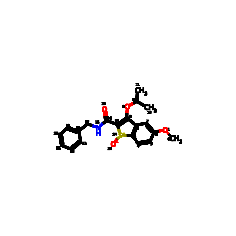 COc1ccc2c(c1)c(OC(C)C)c(C(=O)NCc1ccccc1)[s+]2[O-]